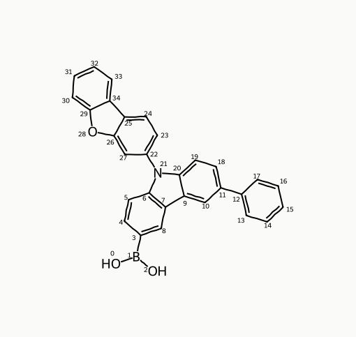 OB(O)c1ccc2c(c1)c1cc(-c3ccccc3)ccc1n2-c1ccc2c(c1)oc1ccccc12